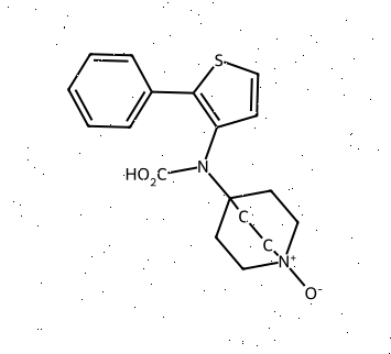 O=C(O)N(c1ccsc1-c1ccccc1)C12CC[N+]([O-])(CC1)CC2